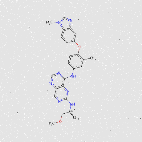 Cc1cc(Nc2ncnc3cnc(N[C@@H](C)COC(F)(F)F)nc23)ccc1Oc1ccc2c(c1)ncn2C